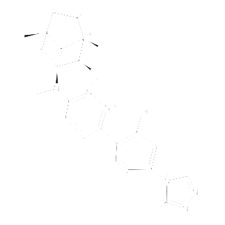 CN(c1ccc(-c2ccc(-n3cnnc3)cc2O)nn1)[C@H]1C[C@]2(C)CC[C@@](C)(C2)[C@H]1F